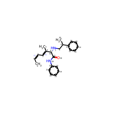 C/C=C\C=C(/C)[C@H](NCC(C)c1ccccc1)C(=O)Nc1ccccc1